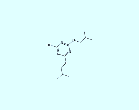 CC(C)COc1nc(O)nc(OCC(C)C)n1